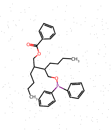 CCCCC(COC(=O)c1ccccc1)C(CCCC)COP(c1ccccc1)c1ccccc1